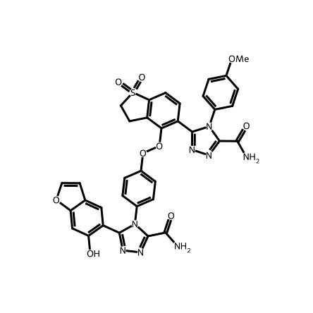 COc1ccc(-n2c(C(N)=O)nnc2-c2ccc3c(c2OOc2ccc(-n4c(C(N)=O)nnc4-c4cc5ccoc5cc4O)cc2)CCS3(=O)=O)cc1